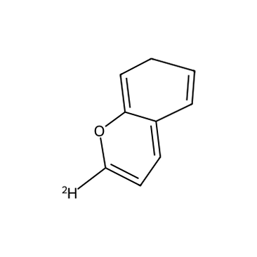 [2H]C1=CC=C2C=CCC=C2O1